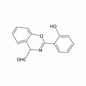 O=CC1N=C(c2ccccc2O)Oc2ccccc21